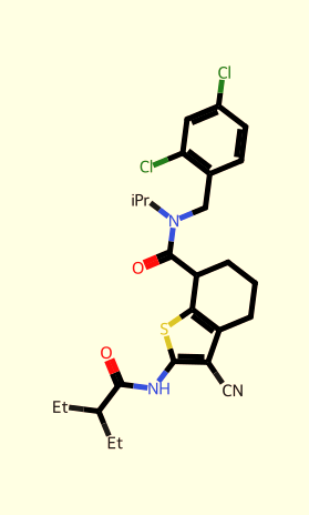 CCC(CC)C(=O)Nc1sc2c(c1C#N)CCCC2C(=O)N(Cc1ccc(Cl)cc1Cl)C(C)C